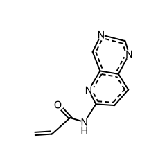 C=CC(=O)Nc1ccc2ncncc2n1